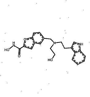 O=C(NO)c1cc2cc(CN(CCO)CCc3c[nH]c4ccccc34)ccc2o1